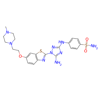 CN1CCN(CCOc2ccc3nc(-n4nc(Nc5ccc(S(N)(=O)=O)cc5)nc4N)sc3c2)CC1